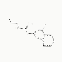 Cc1nc(NC(=N)NCCO)nc2ccccc12